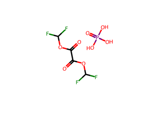 O=C(OC(F)F)C(=O)OC(F)F.O=P(O)(O)O